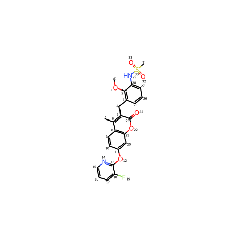 COc1c(Cc2c(C)c3ccc(Oc4ncccc4F)cc3oc2=O)cccc1NS(C)(=O)=O